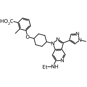 CCNc1cc2c(cn1)c(-c1cnn(C)c1)nn2C1CCC(Oc2cccc(C(=O)O)c2C)CC1